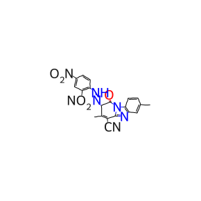 CC1=C(C#N)c2nc3cc(C)ccc3n2C(=O)C1=NNc1ccc([N+](=O)[O-])cc1[N+](=O)[O-]